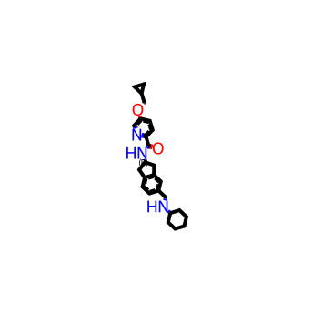 O=C(N[C@@H]1Cc2ccc(CNC3CCCCC3)cc2C1)c1ccc(OCC2CC2)cn1